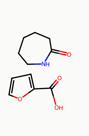 O=C(O)c1ccco1.O=C1CCCCCN1